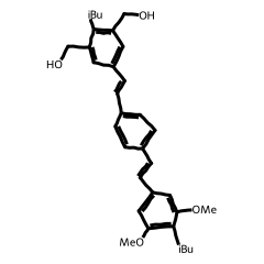 CCC(C)c1c(CO)cc(/C=C/c2ccc(/C=C/c3cc(OC)c(C(C)CC)c(OC)c3)cc2)cc1CO